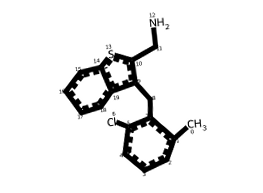 Cc1cccc(Cl)c1Cc1c(CN)sc2ccccc12